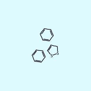 C1=CSSC1.c1ccccc1.c1ccccc1